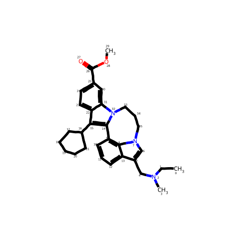 CCN(C)Cc1cn2c3c(cccc13)-c1c(C3CCCCC3)c3ccc(C(=O)OC)cc3n1CCC2